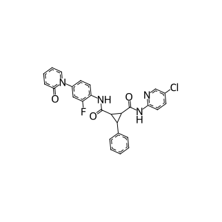 O=C(Nc1ccc(Cl)cn1)C1C(C(=O)Nc2ccc(-n3ccccc3=O)cc2F)C1c1ccccc1